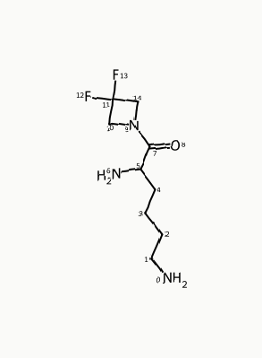 NCCCCC(N)C(=O)N1CC(F)(F)C1